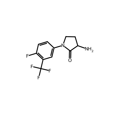 NC1CCN(c2ccc(F)c(C(F)(F)F)c2)C1=O